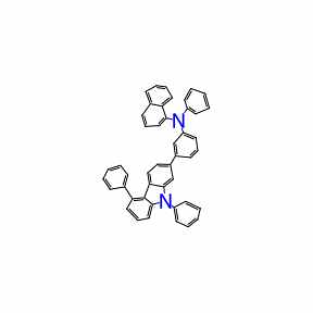 c1ccc(-c2cccc3c2c2ccc(-c4cccc(N(c5ccccc5)c5cccc6ccccc56)c4)cc2n3-c2ccccc2)cc1